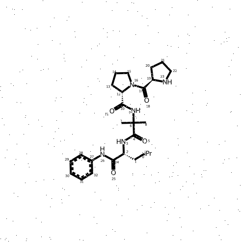 CC(C)C[C@@H](NC(=O)C(C)(C)NC(=O)[C@@H]1CCCN1C(=O)[C@H]1CCCN1)C(=O)Nc1ccccc1